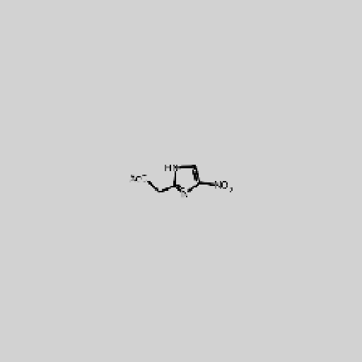 CC(=O)OCc1nc([N+](=O)[O-])c[nH]1